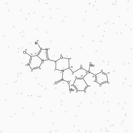 CC(C)(C)OC(=O)N1CC(c2nc(Br)c3c(Cl)nccn23)OCC1CO[Si](c1ccccc1)(c1ccccc1)C(C)(C)C